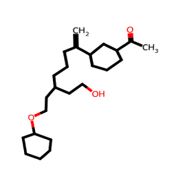 C=C(CCCC(CCO)CCOC1CCCCC1)C1CCCC(C(C)=O)C1